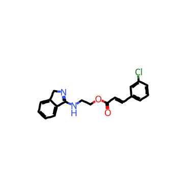 O=C(/C=C/c1cccc(Cl)c1)OCCNC1=NCc2ccccc21